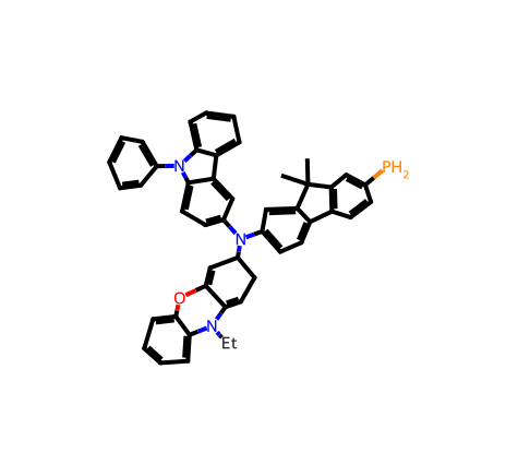 CCN1C2=CCC(N(c3ccc4c(c3)C(C)(C)c3cc(P)ccc3-4)c3ccc4c(c3)c3ccccc3n4-c3ccccc3)C=C2Oc2ccccc21